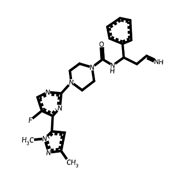 Cc1cc(-c2nc(N3CCN(C(=O)NC(CC=N)c4ccccc4)CC3)ncc2F)n(C)n1